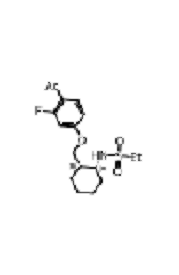 CCS(=O)(=O)N[C@@H]1CCCC[C@H]1COc1ccc(C(C)=O)c(F)c1